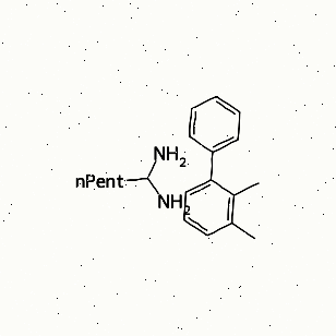 CCCCCC(N)N.Cc1cccc(-c2ccccc2)c1C